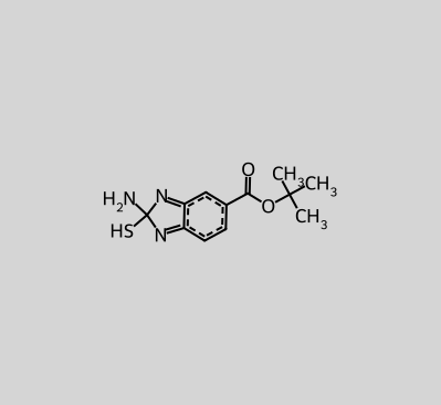 CC(C)(C)OC(=O)c1ccc2c(c1)=NC(N)(S)N=2